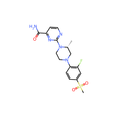 C[C@@H]1CN(c2ccc(S(C)(=O)=O)cc2F)CCN1c1nccc(C(N)=O)n1